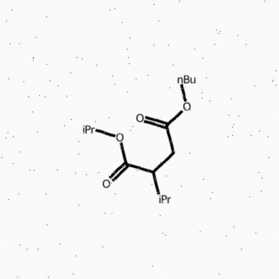 CCCCOC(=O)CC(C(=O)OC(C)C)C(C)C